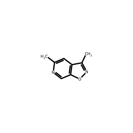 Cc1cc2c(C)noc2cn1